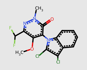 COc1c(C(F)F)nn(C)c(=O)c1-n1c(Cl)c(Cl)c2ccccc21